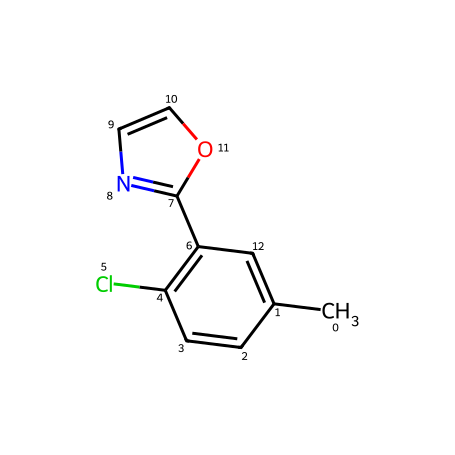 Cc1ccc(Cl)c(-c2ncco2)c1